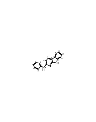 c1ccc(Nc2ncc3c(n2)sc2ccccc23)cc1